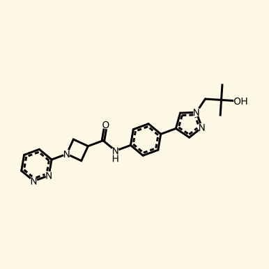 CC(C)(O)Cn1cc(-c2ccc(NC(=O)C3CN(c4cccnn4)C3)cc2)cn1